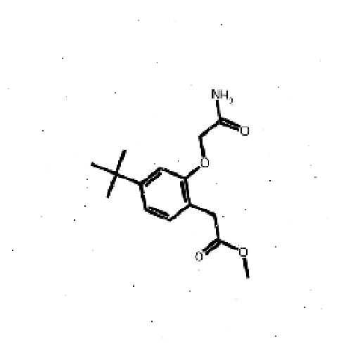 COC(=O)Cc1ccc(C(C)(C)C)cc1OCC(N)=O